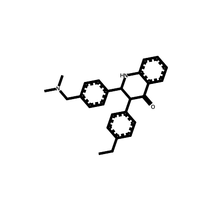 CCc1ccc(C2C(=O)c3ccccc3NC2c2ccc(CN(C)C)cc2)cc1